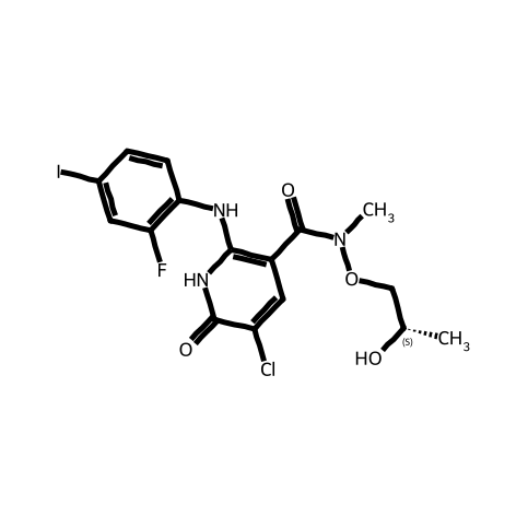 C[C@H](O)CON(C)C(=O)c1cc(Cl)c(=O)[nH]c1Nc1ccc(I)cc1F